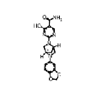 NC(=O)c1cnc(N2C[C@@H]3C[C@H]2CN3c2ccc3c(c2)OCO3)nc1O